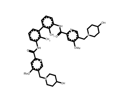 COc1cc(C(=O)Nc2cccc(-c3cccc(NC(=O)c4cc(OC)c(CN5CCC(O)CC5)cn4)c3C)c2C)ncc1CN1CCC(O)CC1